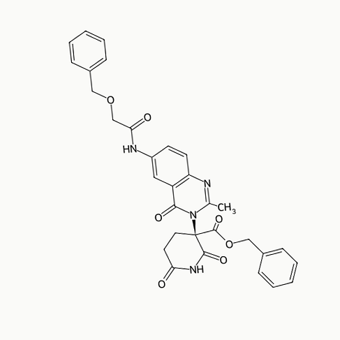 Cc1nc2ccc(NC(=O)COCc3ccccc3)cc2c(=O)n1[C@]1(C(=O)OCc2ccccc2)CCC(=O)NC1=O